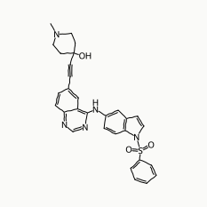 CN1CCC(O)(C#Cc2ccc3ncnc(Nc4ccc5c(ccn5S(=O)(=O)c5ccccc5)c4)c3c2)CC1